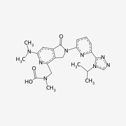 CC(C)n1cnnc1-c1cccc(N2Cc3c(cc(N(C)C)nc3CN(C)C(=O)O)C2=O)n1